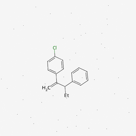 C=C(c1ccc(Cl)cc1)C(CC)c1ccccc1